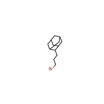 BrCCCC1C2CC3CC(C2)CC1C3